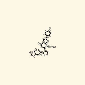 CCCCCn1c(N2CCC[C@H]2C(=O)NC2CCNC2=O)cc(=O)n2cc(-c3ccc(Cl)cc3)nc12